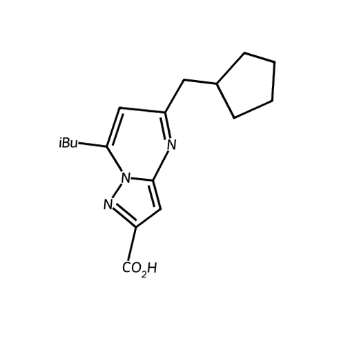 CCC(C)c1cc(CC2CCCC2)nc2cc(C(=O)O)nn12